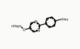 CCCCCCCOc1cnc(-c2ccc(CCCCCC)cc2)nc1